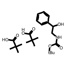 CC(C)(C)C(=O)O.CC(C)(C)C(=O)O.CC(C)(C)OC(=O)NCC(O)c1ccccc1